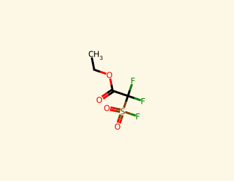 CCOC(=O)C(F)(F)S(=O)(=O)F